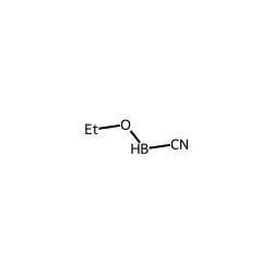 CCOBC#N